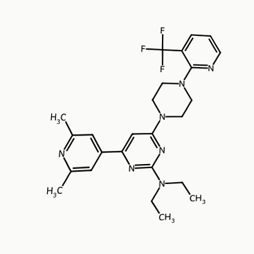 CCN(CC)c1nc(-c2cc(C)nc(C)c2)cc(N2CCN(c3ncccc3C(F)(F)F)CC2)n1